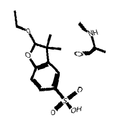 CCOC1Oc2ccc(S(=O)(=O)O)cc2C1(C)C.CNC(C)=O